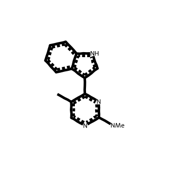 CNc1ncc(C)c(-c2c[nH]c3ccccc23)n1